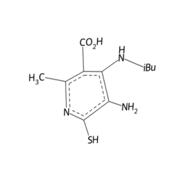 CCC(C)Nc1c(N)c(S)nc(C)c1C(=O)O